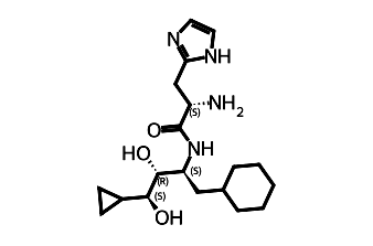 N[C@@H](Cc1ncc[nH]1)C(=O)N[C@@H](CC1CCCCC1)[C@@H](O)[C@@H](O)C1CC1